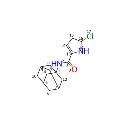 O=C(NC12CC3CC(CC(C3)C1)C2)C1=CCC(Cl)N1